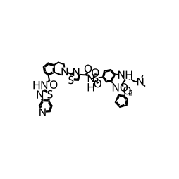 CN(C)CC[C@H](COc1ccccc1)Nc1ccc(S(=O)(=O)NC(=O)c2csc(N3CCc4cccc(C(=O)Nc5nc6cnccc6s5)c4C3)n2)cc1[N+](=O)[O-]